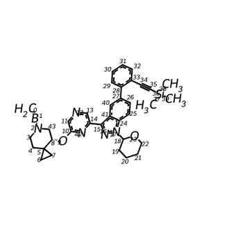 C=BN1CCC2(CC2)[C@@H](Oc2cncc(-c3nn(C4CCCCO4)c4ccc(-c5ccccc5C#C[Si](C)(C)C)cc34)n2)C1